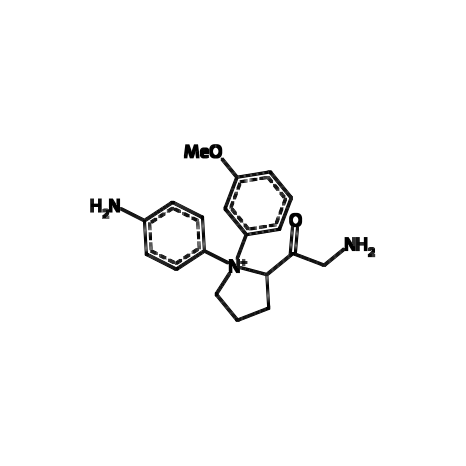 COc1cccc([N+]2(c3ccc(N)cc3)CCCC2C(=O)CN)c1